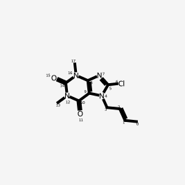 CC=CCn1c(Cl)nc2c1c(=O)n(C)c(=O)n2C